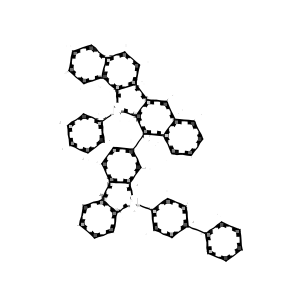 c1ccc(-c2ccc(-n3c4ccccc4c4ccc(-c5c6ccccc6cc6c7ccc8ccccc8c7n(-c7ccccc7)c56)cc43)cc2)cc1